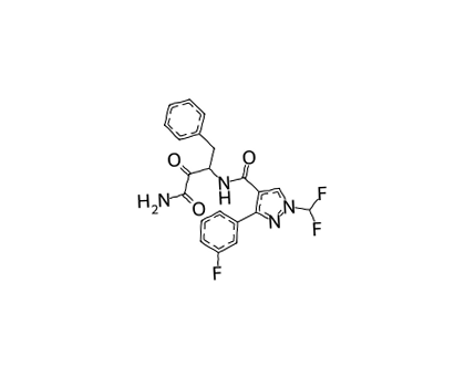 NC(=O)C(=O)C(Cc1ccccc1)NC(=O)c1cn(C(F)F)nc1-c1cccc(F)c1